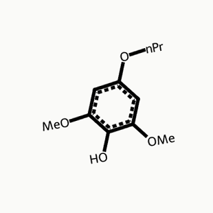 CCCOc1cc(OC)c(O)c(OC)c1